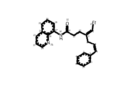 CC/C=C(/C/C=C\c1ccccc1)CCC(=O)Nc1cccc2cccnc12